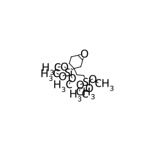 CO[Si](CCC1([Si](OC)(OC)OC)CCC2OC2C1)(OC)OC